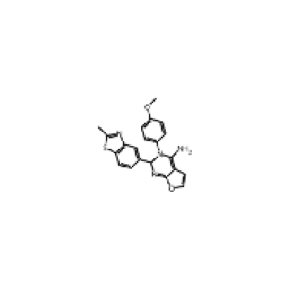 COc1ccc(N2C(N)=c3ccoc3=NC2c2ccc3sc(C)nc3c2)cc1